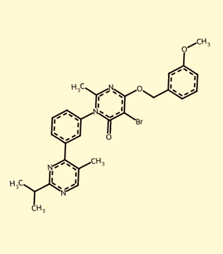 COc1cccc(COc2nc(C)n(-c3cccc(-c4nc(C(C)C)ncc4C)c3)c(=O)c2Br)c1